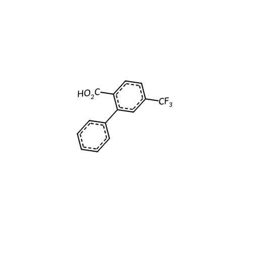 O=C(O)c1ccc(C(F)(F)F)cc1-c1ccccc1